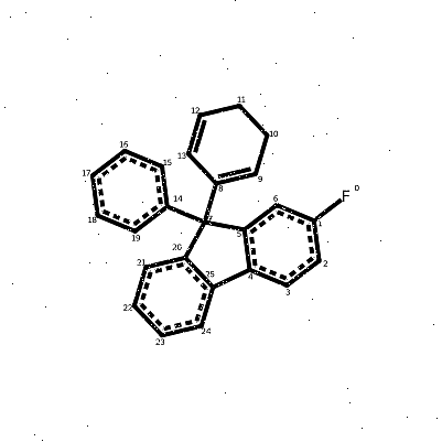 Fc1ccc2c(c1)C(C1=CCCC=C1)(c1ccccc1)c1ccccc1-2